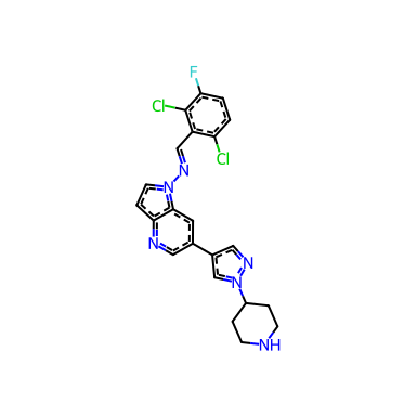 Fc1ccc(Cl)c(C=Nn2ccc3ncc(-c4cnn(C5CCNCC5)c4)cc32)c1Cl